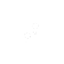 Fc1cc[c]c(Nc2cccc(F)c2)c1